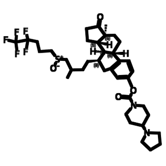 CC(CC[C@@H]1Cc2cc(OC(=O)N3CCC(N4CCCC4)CC3)ccc2[C@H]2CC[C@]3(C)C(=O)CC[C@H]3[C@H]12)C[S+]([O-])CCCC(F)(F)C(F)(F)F